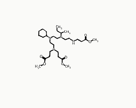 CCC(C)N(CCNCCC(=O)OC)CCN(CCN(CCC(=O)OC)CCC(=O)OC)C1CCCCC1